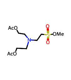 COS(=O)(=O)CCN(CCOC(C)=O)CCOC(C)=O